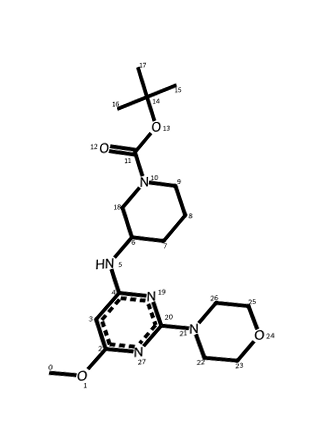 COc1cc(NC2CCCN(C(=O)OC(C)(C)C)C2)nc(N2CCOCC2)n1